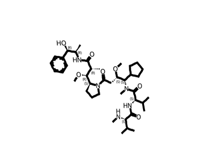 CN[C@H](C(=O)N[C@H](C(=O)N(C)[C@@H](C1CCCC1)[C@H](CC(=O)N1CCC[C@H]1[C@H](OC)[C@@H](C)C(=O)N[C@H](C)[C@H](O)c1ccccc1)OC)C(C)C)C(C)C